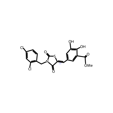 COC(=O)c1cc(/C=C2\SC(=O)N(Cc3ccc(Cl)cc3Cl)C2=O)cc(O)c1O